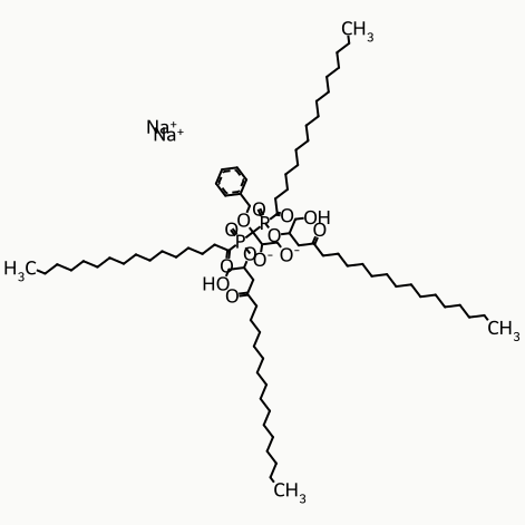 CCCCCCCCCCCCCCCC(=O)CC(CO)OP(=O)(C(=O)CCCCCCCCCCCCCCC)C(OCc1ccccc1)(C([O-])C[O-])P(=O)(OC(CO)CC(=O)CCCCCCCCCCCCCCC)C(=O)CCCCCCCCCCCCCCC.[Na+].[Na+]